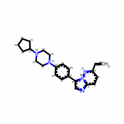 C=Cc1ccc2ncc(-c3ccc(N4CCN(C5CCCC5)CC4)cc3)n2n1